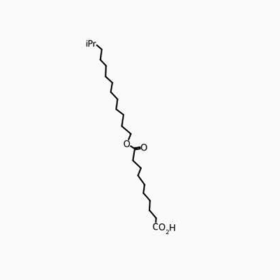 CC(C)CCCCCCCCCCCOC(=O)CCCCCCCCC(=O)O